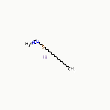 CCCCCCCCCCCCCCCCCCSCCCN1C=CN(C)C1.I